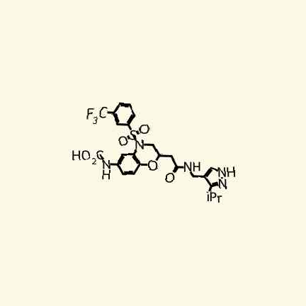 CC(C)c1n[nH]cc1CNC(=O)CC1CN(S(=O)(=O)c2cccc(C(F)(F)F)c2)c2cc(NC(=O)O)ccc2O1